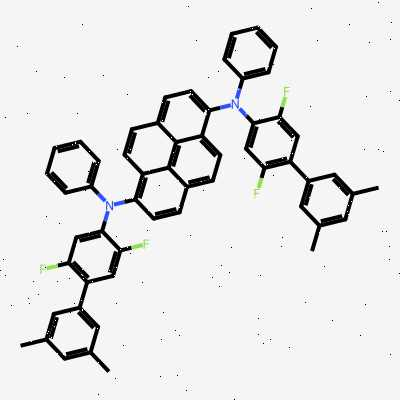 Cc1cc(C)cc(-c2cc(F)c(N(c3ccccc3)c3ccc4ccc5c(N(c6ccccc6)c6cc(F)c(-c7cc(C)cc(C)c7)cc6F)ccc6ccc3c4c65)cc2F)c1